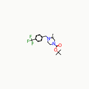 C[C@H]1CN(C(=O)OC(C)(C)C)CCN1Cc1ccc(C(F)(F)F)cc1